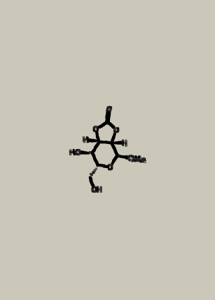 CO[C@H]1O[C@H](CO)[C@@H](O)[C@@H]2OC(=O)O[C@H]12